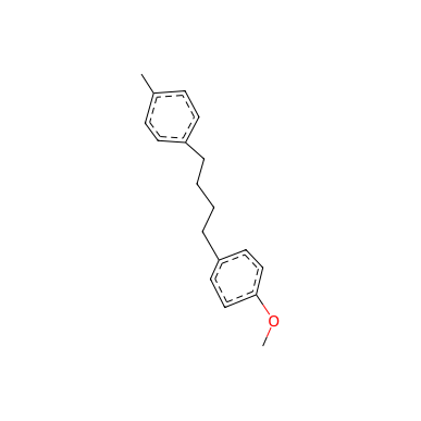 COc1ccc(CCCCc2ccc(C)cc2)cc1